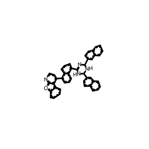 c1ccc2cc(C3N=C(c4cccc5c(-c6ccnc7oc8ccccc8c67)cccc45)NC(c4ccc5ccccc5c4)N3)ccc2c1